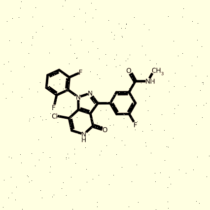 CNC(=O)c1cc(F)cc(-c2nn(-c3c(F)cccc3F)c3c(Cl)c[nH]c(=O)c23)c1